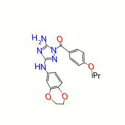 CC(C)Oc1ccc(C(=O)n2nc(Nc3ccc4c(c3)OCCO4)nc2N)cc1